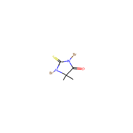 CC1(C)C(=O)N(Br)C(=S)N1Br